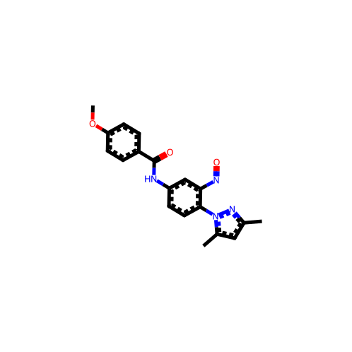 COc1ccc(C(=O)Nc2ccc(-n3nc(C)cc3C)c(N=O)c2)cc1